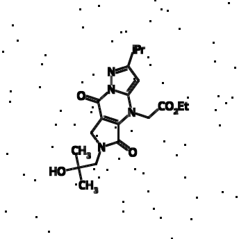 CCOC(=O)Cn1c2c(c(=O)n3nc(C(C)C)cc13)CN(CC(C)(C)O)C2=O